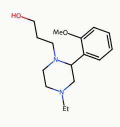 CCN1CCN(CCCO)C(c2ccccc2OC)C1